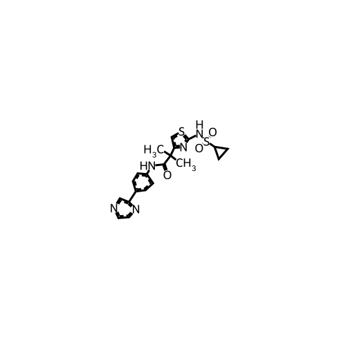 CC(C)(C(=O)Nc1ccc(-c2cnccn2)cc1)c1csc(NS(=O)(=O)C2CC2)n1